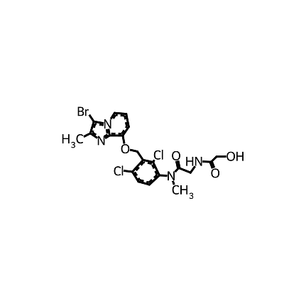 Cc1nc2c(OCc3c(Cl)ccc(N(C)C(=O)CNC(=O)CO)c3Cl)cccn2c1Br